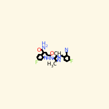 Cc1nn(Cc2ccc(F)cc2C#N)c(C)c1NC(=O)c1cc(C(N)=O)c2ccc(F)cc2n1